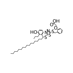 CCCCCCCCCCCCCCCCC(Sc1nnc(SCc2ccccc2OCC(=O)O)s1)c1cccc(O)c1CCC